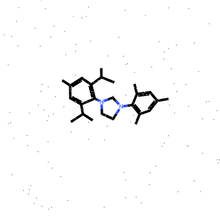 Cc1cc(C)c(N2CCN(c3c(C(C)C)cc(C)cc3C(C)C)C2)c(C)c1